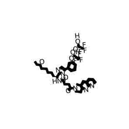 CCC(=O)CCCCC[C@H](NC(=O)CCC(=O)N1CCc2nc3ncccc3cc2C1)c1ncc(-c2ccccc2)[nH]1.O=C(O)C(F)(F)F.O=C(O)C(F)(F)F